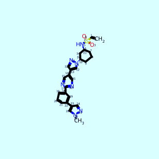 C=CS(=O)(=O)N[C@H]1CCC[C@H](n2cc(-c3cnc(-c4cccc(-c5cnn(C)c5)c4)nc3)cn2)C1